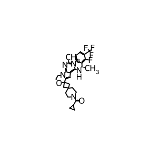 Cc1nc(N[C@H](C)c2cccc(C(F)(F)F)c2F)c2cc3n(c2n1)CCOC31CC2(CCN(C(=O)C3CC3)CC2)C1